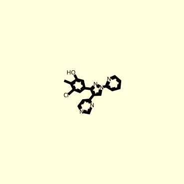 Cc1c(O)cc(-c2nn(-c3ccccn3)cc2-c2ccncn2)cc1Cl